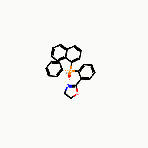 O=[P@](c1ccccc1)(c1ccccc1C1=NCCO1)c1cccc2ccccc12